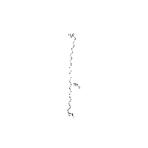 CCCCCCCCCCCCCCCC(N)CCCCCCCC